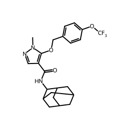 Cn1ncc(C(=O)NC2C3CC4CC(C3)CC2C4)c1OCc1ccc(OC(F)(F)F)cc1